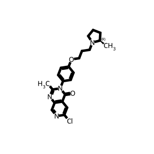 Cc1nc2cnc(Cl)cc2c(=O)n1-c1ccc(OCCCN2CCC[C@H]2C)cc1